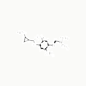 CCCC1CC1COc1cc(C)c(N=CN(C)CCC)cc1C